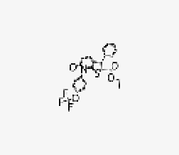 CCOC(=O)c1sc2c(ccc(=O)n2-c2ccc(OC(F)(F)F)cc2)c1-c1ccccc1